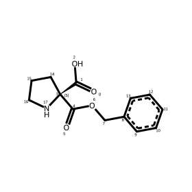 O=C(O)[C@]1(C(=O)OCc2ccccc2)CCCN1